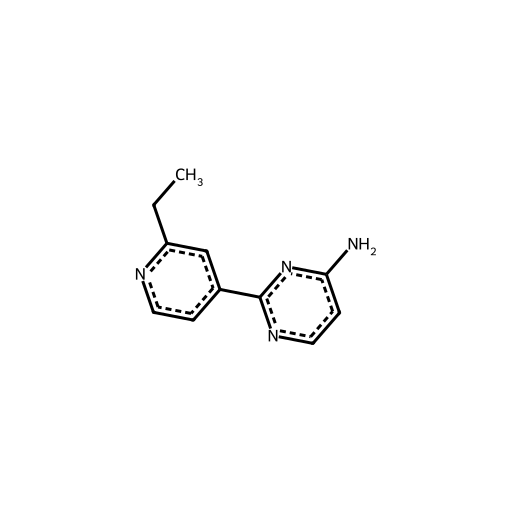 CCc1cc(-c2nccc(N)n2)ccn1